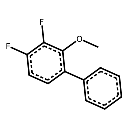 COc1c(-c2ccccc2)ccc(F)c1F